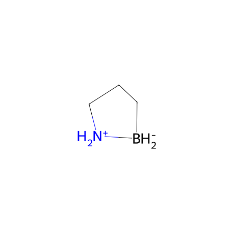 [BH2-]1CCC[NH2+]1